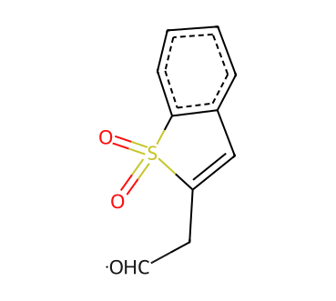 O=[C]CC1=Cc2ccccc2S1(=O)=O